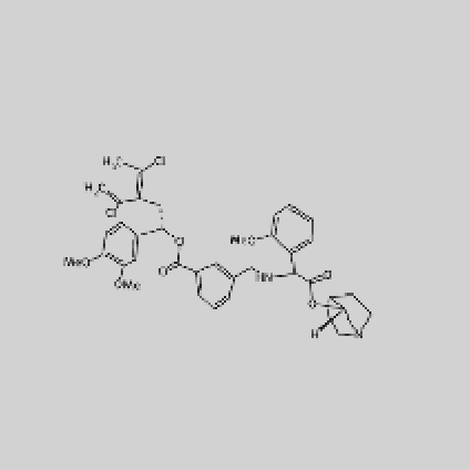 C=C(Cl)/C(C[C@H](OC(=O)c1cccc(CNC(C(=O)O[C@H]2CN3CCC2CC3)c2ccccc2OC)c1)c1ccc(OC)c(OC)c1)=C(\C)Cl